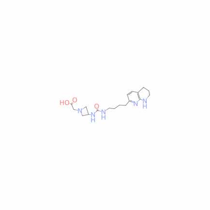 O=C(O)CN1CC(NC(=O)NCCCCc2ccc3c(n2)NCCC3)C1